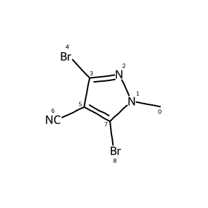 Cn1nc(Br)c(C#N)c1Br